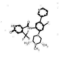 C[C@@H]1CN(c2cc(F)c(-c3cccnc3)cc2NC(=O)c2c[nH]c(=O)cc2C(F)(F)F)C[C@H](C)N1C